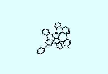 CC1C=CC2=C(C1)c1cccc3c1c1c4c2cccc4c2ccccc2c1n3-c1ccccc1-c1nc(-c2ccccc2)nc(-c2ccccc2)n1